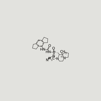 CN1CCN2CCC[C@@]2(C)C1C[S@](=O)(=NC#N)NC(=O)Nc1c2c(cc3c1CCC3)CCC2